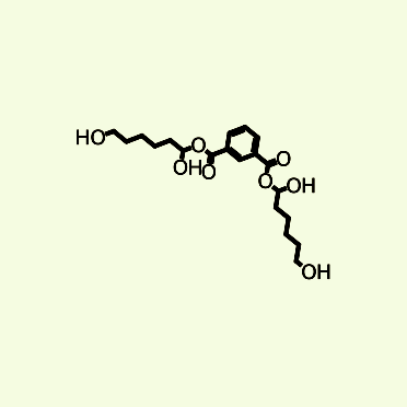 O=C(OC(O)CCCCCO)c1cccc(C(=O)OC(O)CCCCCO)c1